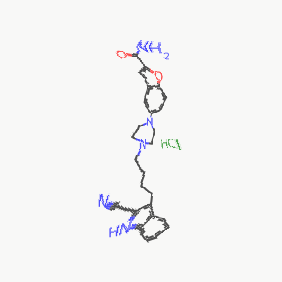 Cl.N#Cc1[nH]c2ccccc2c1CCCCN1CCN(c2ccc3oc(C(N)=O)cc3c2)CC1